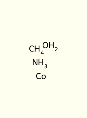 C.N.O.[Co]